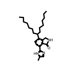 CCCCCCCC(CCCCCCC)c1ccc(-c2ncc(C)[nH]2)c2c1CNC2=O